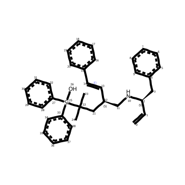 C=C[C@H](Cc1ccccc1)NC[C@H](/C=C/c1ccccc1)CC(C)(C)[Si](O)(c1ccccc1)c1ccccc1